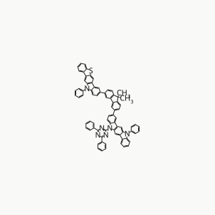 CC1(C)c2ccc(-c3ccc4c(c3)c3cc5sc6ccccc6c5cc3n4-c3ccccc3)cc2-c2cc(-c3ccc4c(c3)c3cc5c(cc3n4-c3nc(-c4ccccc4)nc(-c4ccccc4)n3)c3ccccc3n5-c3ccccc3)ccc21